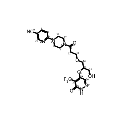 N#Cc1ccc(N2CCN(C(=O)CCOCC(CO)Oc3cn[nH]c(=O)c3C(F)(F)F)CC2)nc1